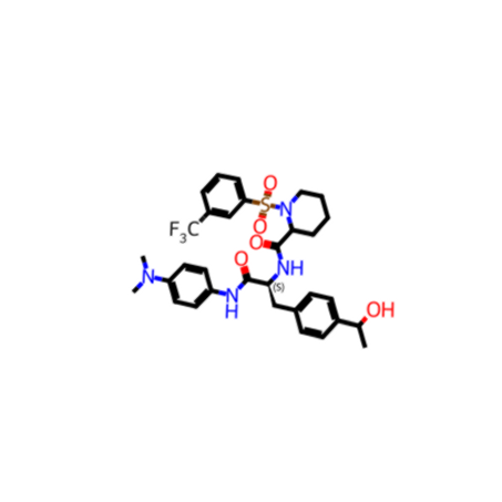 CC(O)c1ccc(C[C@H](NC(=O)C2CCCCN2S(=O)(=O)c2cccc(C(F)(F)F)c2)C(=O)Nc2ccc(N(C)C)cc2)cc1